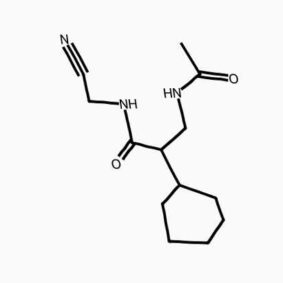 CC(=O)NCC(C(=O)NCC#N)C1CCCCC1